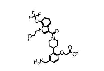 COCCn1cc(C(=O)N2CCC(c3cc(CN)ccc3OCC(=O)OC)CC2)c2cccc(OC(F)(F)F)c21